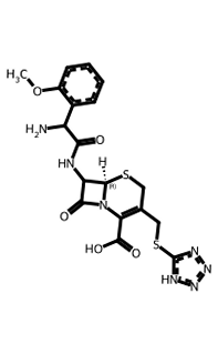 COc1ccccc1C(N)C(=O)NC1C(=O)N2C(C(=O)O)=C(CSc3nnn[nH]3)CS[C@H]12